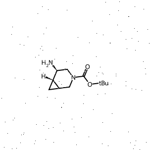 CC(C)(C)OC(=O)N1CC2C[C@@H]2[C@@H](N)C1